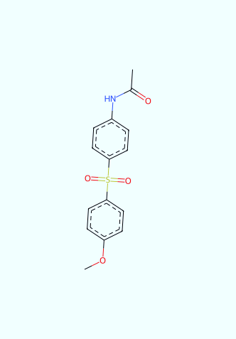 COc1ccc(S(=O)(=O)c2ccc(NC(C)=O)cc2)cc1